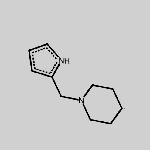 [CH]1CCN(Cc2ccc[nH]2)CC1